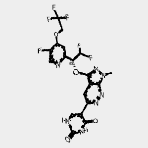 Cn1nc(O[C@H](c2cc(OCC(F)(F)F)c(F)cn2)C(F)F)c2cc(-c3c[nH]c(=O)[nH]c3=O)nnc21